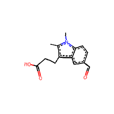 Cc1c(CCC(=O)O)c2cc(C=O)ccc2n1C